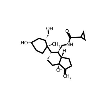 C=C1CC[C@H]2[C@H](CNC(=O)C3CC3)[C@@H]([C@@]3(C)CC[C@H](O)C[C@@H]3CO)CC[C@]12C